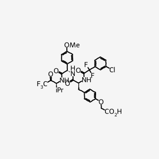 COc1ccc([C@H](NC(=O)[C@H](Cc2ccc(OCC(=O)O)cc2)NC(=O)C(F)(F)c2cccc(Cl)c2)C(=O)N[C@H](C(=O)C(F)(F)F)C(C)C)cc1